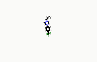 [CH2]CCN1CCN(c2ccc(C(F)(F)F)cc2)CC1